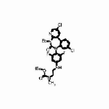 CCN1C(=O)N(c2c(F)cc(NCCN(C)C(=O)OC(C)(C)C)cc2F)c2cc(Cl)ccc2-c2cc(Cl)cnc21